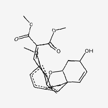 COC(=O)C(=CN1CCC23C=CC(O)CC2Oc2c(OC)ccc(c23)C1)C(=O)OC